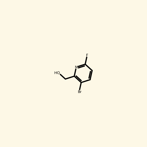 OCc1nc(F)ccc1Br